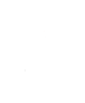 CC(C)C(C)c1ccc(C(=O)c2ccccc2)cc1